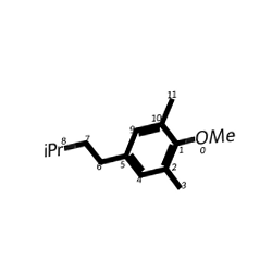 COc1c(C)cc(CCC(C)C)cc1C